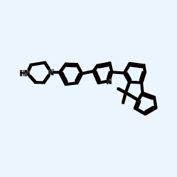 CC1(C)c2ccccc2-c2cccc(-c3ccc(-c4ccc(N5CCNCC5)cc4)cn3)c21